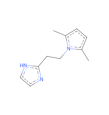 Cc1ccc(C)n1CCc1ncc[nH]1